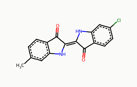 Cc1ccc2c(c1)N/C(=C1/Nc3cc(Cl)ccc3C1=O)C2=O